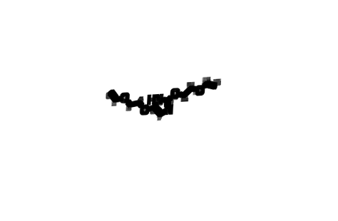 C=COCCOc1cnc(OCCOC=C)[nH]1